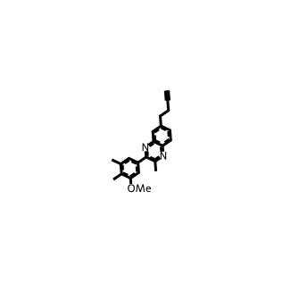 C#CCCc1ccc2nc(C)c(-c3cc(C)c(C)c(OC)c3)nc2c1